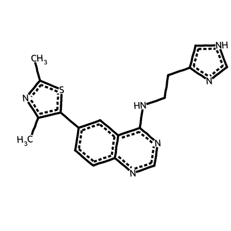 Cc1nc(C)c(-c2ccc3ncnc(NCCc4c[nH]cn4)c3c2)s1